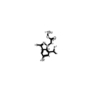 CC(F)c1cc(Br)cc2c(I)nn(CC(=O)OC(C)(C)C)c12